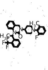 Cc1cccc(F)c1N1CCC(N2Cc3ccccc3N(C(C)c3ccccc3C(F)(F)F)C2=O)CC1